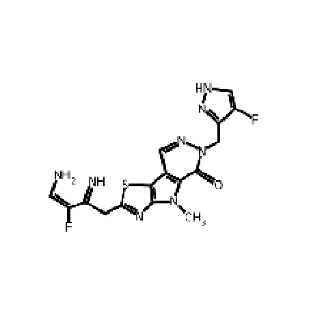 Cn1c2nc(CC(=N)/C(F)=C\N)sc2c2cnn(Cc3n[nH]cc3F)c(=O)c21